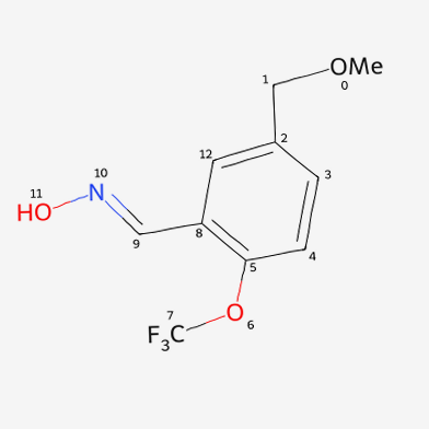 COCc1ccc(OC(F)(F)F)c(C=NO)c1